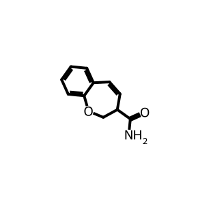 NC(=O)C1C=Cc2ccccc2OC1